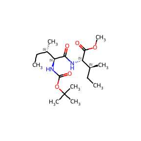 CC[C@H](C)[C@H](NC(=O)OC(C)(C)C)C(=O)N[C@H](C(=O)OC)[C@@H](C)CC